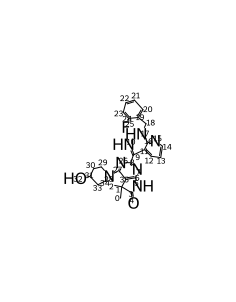 CC1(C)C(=O)Nc2nc(C(=N)c3cccnc3NCc3ccccc3F)nc(N3CCC(O)CC3)c21